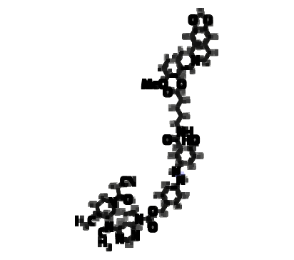 COc1ccc2cc3[n+](cc2c1OC(=O)CCCCNC(=O)c1cc(/N=N/c2ccc(COC(=O)n4ccc5c(N(C)[C@H]6CN(C(=O)CC#N)CC[C@H]6C)ncnc54)cc2)ccc1O)CCc1cc2c(cc1-3)OCO2